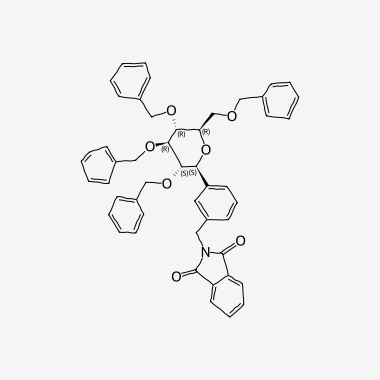 O=C1c2ccccc2C(=O)N1Cc1cccc([C@@H]2O[C@H](COCc3ccccc3)[C@@H](OCc3ccccc3)[C@H](OCc3ccccc3)[C@H]2OCc2ccccc2)c1